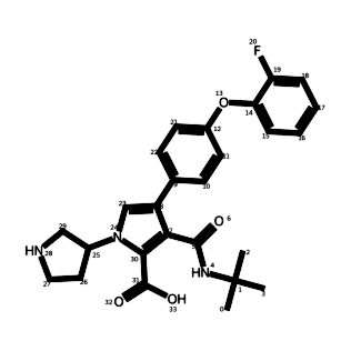 CC(C)(C)NC(=O)c1c(-c2ccc(Oc3ccccc3F)cc2)cn(C2CCNC2)c1C(=O)O